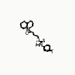 O=C(CCCOC(=S)Nc1ccc(F)cc1)N1CCCC2CCCC[C@@H]21